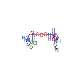 Cc1ncsc1-c1ccc(CNC(=O)[C@@H]2CCCN2C(=O)C(NC(=O)CNCCOCCOCCOCCNC(=O)c2ccc(Nc3ncc4c(n3)-c3ccc(Cl)cc3C(c3c(F)cccc3F)=NC4)cc2)C(C)(C)C)cc1